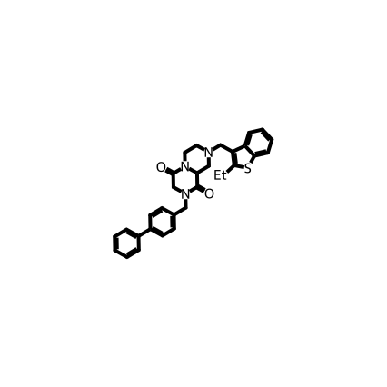 CCc1sc2ccccc2c1CN1CCN2C(=O)CN(Cc3ccc(-c4ccccc4)cc3)C(=O)C2C1